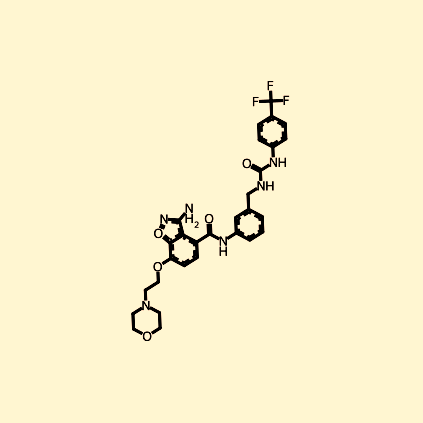 Nc1noc2c(OCCN3CCOCC3)ccc(C(=O)Nc3cccc(CNC(=O)Nc4ccc(C(F)(F)F)cc4)c3)c12